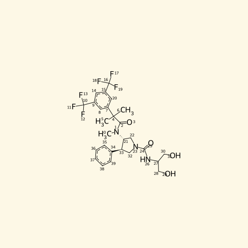 CN(C(=O)C(C)(C)c1cc(C(F)(F)F)cc(C(F)(F)F)c1)[C@@H]1CN(C(=O)NC(CO)CO)C[C@H]1c1ccccc1